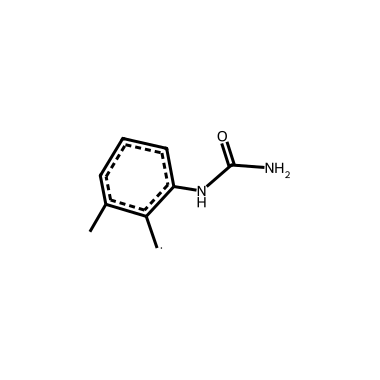 [CH2]c1c(C)cccc1NC(N)=O